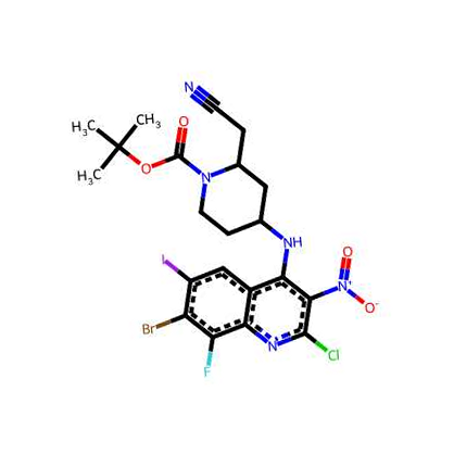 CC(C)(C)OC(=O)N1CCC(Nc2c([N+](=O)[O-])c(Cl)nc3c(F)c(Br)c(I)cc23)CC1CC#N